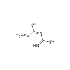 C=C/C(=N\C(=N)C(C)C)C(C)C